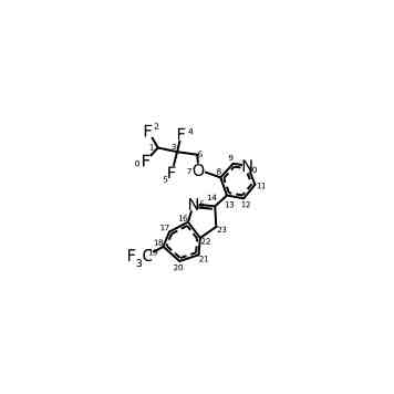 FC(F)C(F)(F)COc1cnccc1C1=Nc2cc(C(F)(F)F)ccc2C1